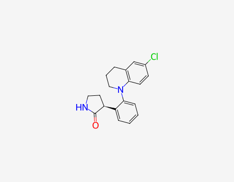 O=C1NCC[C@H]1c1ccccc1N1CCCc2cc(Cl)ccc21